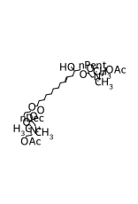 CCCCCCCCCCCC(OC(=O)CCCCCCCC=CCC(O)C(CCCCC)OC(=O)C[N+](C)(C)CCOC(C)=O)OC(=O)C[N+](C)(C)CCOC(C)=O